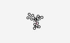 c1ccc(C2(c3ccccc3)c3ccccc3-c3ccc(-c4nc(-c5ccc(-c6ccccc6-n6c7ccccc7c7ccccc76)cc5)nc(-c5cccc6c5sc5ccccc56)n4)cc32)cc1